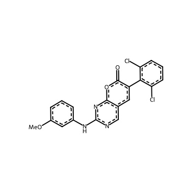 COc1cccc(Nc2ncc3cc(-c4c(Cl)cccc4Cl)c(=O)oc3n2)c1